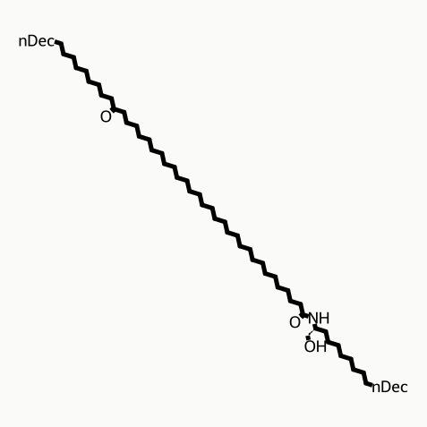 CCCCCCCCCCCCCCCCCCCC(=O)CCCCCCCCCCCCCCCCCCCCCCCCCCCCCC(=O)N[C@@H](CO)CCCCCCCCCCCCCCCCCC